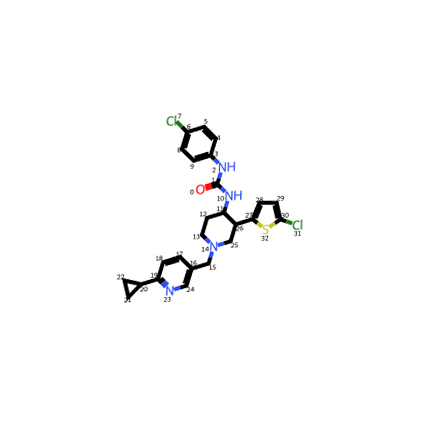 O=C(Nc1ccc(Cl)cc1)NC1CCN(Cc2ccc(C3CC3)nc2)CC1c1ccc(Cl)s1